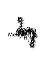 COC(=O)C(C(C)C)N(C(=O)CCCCCc1ccccc1)C(=O)C(N)C(C)CNC(=O)[C@H](C)NC(=O)[C@H](C)NC(=O)[C@@H](N)COCc1ccccc1